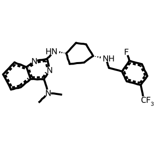 CN(C)c1nc(N[C@H]2CC[C@@H](NCc3cc(C(F)(F)F)ccc3F)CC2)nc2ccccc12